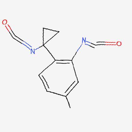 Cc1ccc(C2(N=C=O)CC2)c(N=C=O)c1